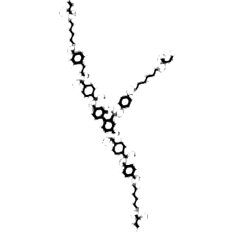 C=CC(=O)OCCCCCCOc1ccc(CCOC(=O)C2CCC(C(=O)Oc3ccc4c(c3)nc(Oc3ccc(OCCCCCCOC(=O)C=C)cc3)c3cc(OC(=O)C5CCC(C(=O)Oc6ccc(OCCCCCCOC(=O)C=C)cc6)CC5)ccc34)CC2)cc1